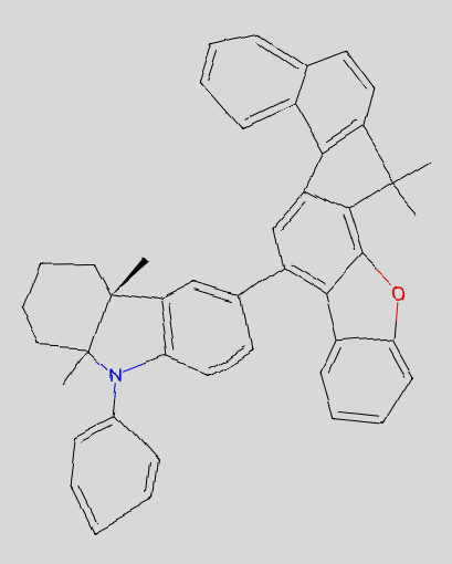 CC1(C)c2ccc3ccccc3c2-c2cc(-c3ccc4c(c3)[C@@]3(C)CCCCC3(C)N4c3ccccc3)c3c(oc4ccccc43)c21